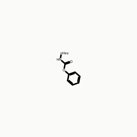 CCCCCCNC(=O)Oc1ccccc1